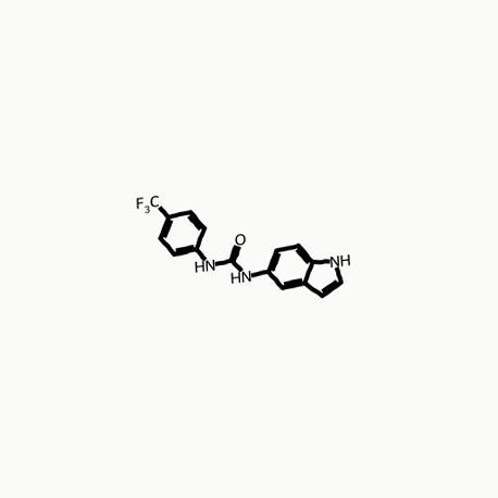 O=C(Nc1ccc(C(F)(F)F)cc1)Nc1ccc2[nH]ccc2c1